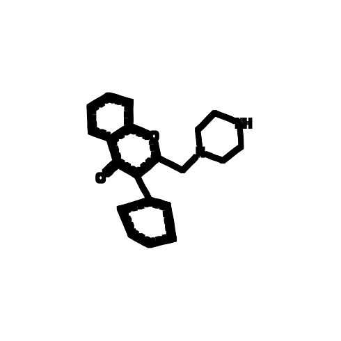 O=c1c(-c2ccccc2)c(CN2CCNCC2)oc2ccccc12